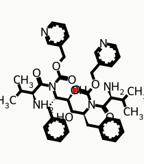 CC(C)[C@H](N)C(=O)N(C(=O)OCc1cccnc1)[C@@H](Cc1ccccc1)[C@@H](O)[C@H](O)[C@H](Cc1ccccc1)N(C(=O)OCc1cccnc1)C(=O)[C@@H](N)C(C)C